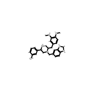 COc1ccc(CC(C)N(Cc2ccc3c(c2)OCO3)CC(O)c2cccc(Cl)c2)cc1OC